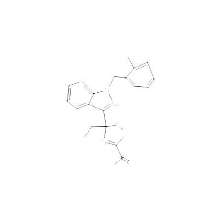 CCC1(c2nn(Cc3ccccc3F)c3ncccc23)N=C(C(=O)O)ON1